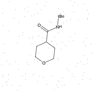 CC(C)(C)NC(=O)C1CCOCC1